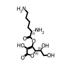 NCCCC[C@H](N)C(=O)OC1=C(O)C(=O)O[C@@H]1[C@@H](O)CO